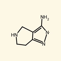 NC1=C2CNCCC2=N[N]1